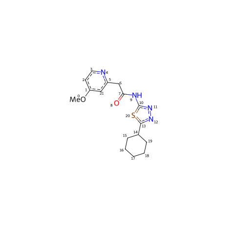 COc1ccnc(CC(=O)Nc2nnc(C3CCCCC3)s2)c1